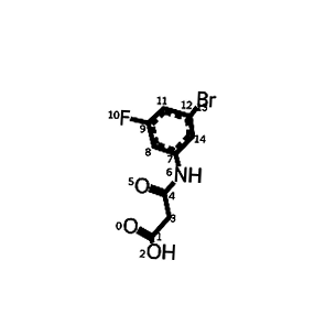 O=C(O)CC(=O)Nc1cc(F)cc(Br)c1